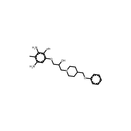 CCCc1c(OCC(O)CN2CCC(COc3ccccc3)CC2)cc(N)c(C)c1N